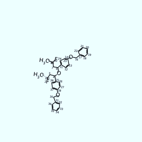 C[C@@H](F)CC(OC(C[C@@H](C)F)c1ccc(OCc2ccccc2)cc1)c1ccc(OCc2ccccc2)cc1